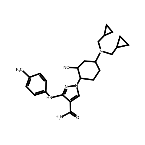 N#CC1CC(N(CC2CC2)CC2CC2)CCC1n1cc(C(N)=O)c(Nc2ccc(C(F)(F)F)cc2)n1